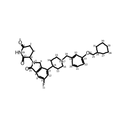 O=C1CCC(N2Cc3c(cc(F)cc3C3CCN(Cc4cccc(OCC5CCCCC5)c4)CC3)C2=O)C(=O)N1